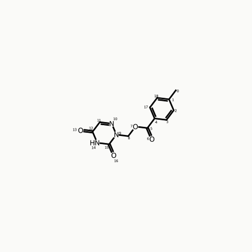 Cc1ccc(C(=O)OCn2ncc(=O)[nH]c2=O)cc1